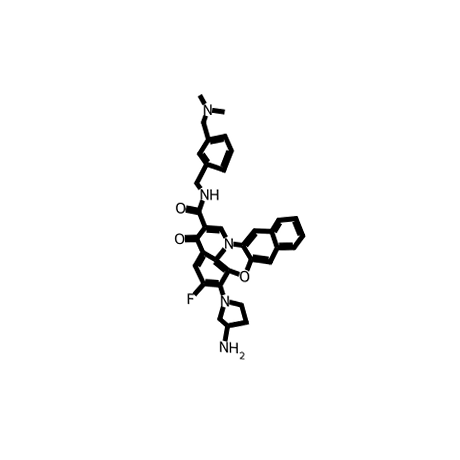 CN(C)Cc1cccc(CNC(=O)c2cn3c4c(c(N5CCC(N)C5)c(F)cc4c2=O)Oc2cc4ccccc4cc2-3)c1